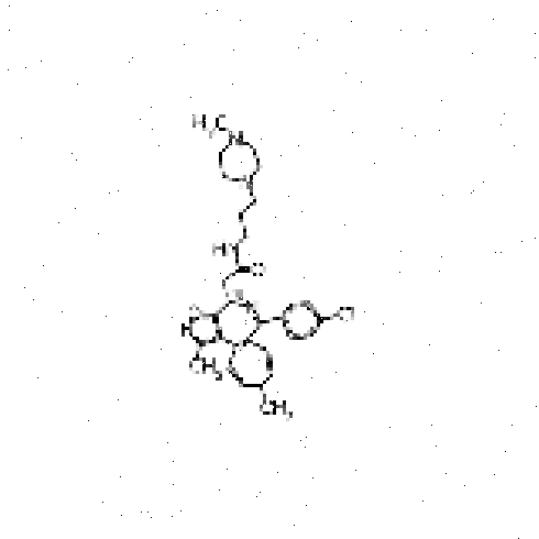 Cc1noc2c1C1=C(C=CC(C)C=C1)C(c1ccc(Cl)cc1)=N[C@H]2CC(=O)NCCCN1CCN(C)CC1